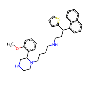 COc1ccccc1C1CNCCN1CCCCNCCC(c1cccs1)c1cccc2ccccc12